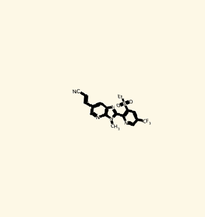 CCS(=O)(=O)c1cc(C(F)(F)F)cnc1-c1nc2cc(C=CC#N)cnc2n1C